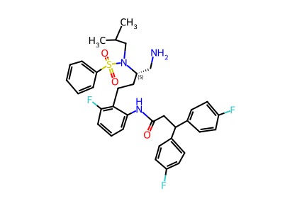 CC(C)CN([C@H](CN)CCc1c(F)cccc1NC(=O)CC(c1ccc(F)cc1)c1ccc(F)cc1)S(=O)(=O)c1ccccc1